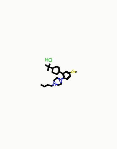 CCCCN1CCN(c2ccc(SC)cc2C2CCC(C(C)(C)C)CC2)CC1.Cl